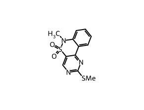 CSc1ncc2c(n1)-c1ccccc1N(C)S2(=O)=O